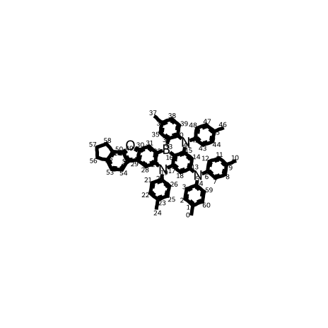 Cc1ccc(N(c2ccc(C)cc2)c2cc3c4c(c2)N(c2ccc(C)cc2)c2cc5c(cc2B4c2cc(C)ccc2N3c2ccc(C)cc2)oc2c3c(ccc25)CCC3)cc1